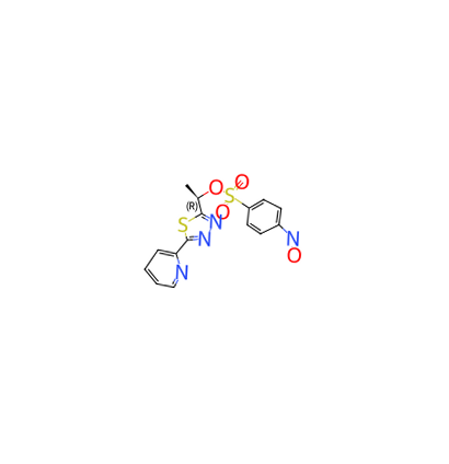 C[C@@H](OS(=O)(=O)c1ccc(N=O)cc1)c1nnc(-c2ccccn2)s1